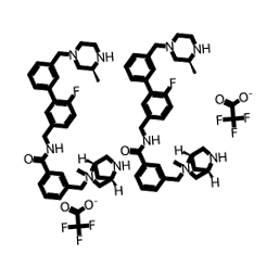 C[C@H]1CN(Cc2cccc(-c3cc(CNC(=O)c4cccc(C[N+]5(C)C[C@@H]6C[C@H]5CN6)c4)ccc3F)c2)CCN1.C[C@H]1CN(Cc2cccc(-c3cc(CNC(=O)c4cccc(C[N+]5(C)C[C@@H]6C[C@H]5CN6)c4)ccc3F)c2)CCN1.O=C([O-])C(F)(F)F.O=C([O-])C(F)(F)F